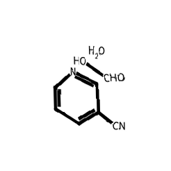 N#Cc1cccnc1.O.O=CO